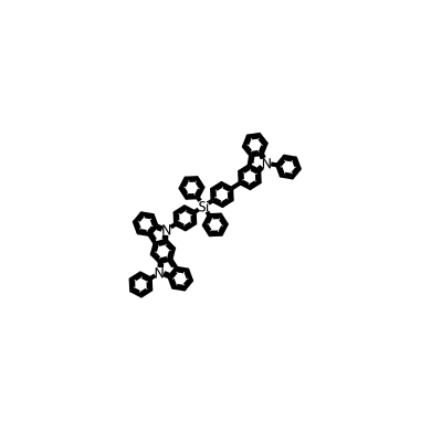 c1ccc(-n2c3ccccc3c3cc(-c4ccc([Si](c5ccccc5)(c5ccccc5)c5ccc(-n6c7ccccc7c7cc8c(cc76)c6ccccc6n8-c6ccccc6)cc5)cc4)ccc32)cc1